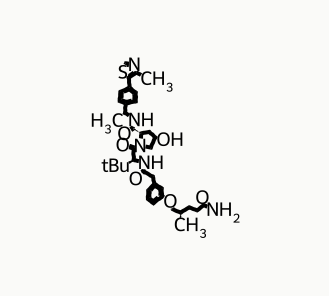 Cc1ncsc1-c1ccc([C@H](C)NC(=O)[C@@H]2C[C@@H](O)CN2C(=O)[C@@H](NC(=O)Cc2cccc(OC[C@@H](C)CCC(N)=O)c2)C(C)(C)C)cc1